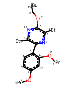 CCCOc1ccc(-c2nc(CC)c(OCC(C)CC)nc2CC)c(OC(C)C)c1